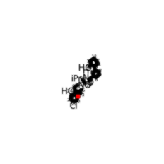 CC(C)[C@@H](NC(=O)c1cccc(-c2ccccc2O)c1)C(=O)N1CC[C@](O)(c2ccc(Cl)cc2)C(C)(C)C1